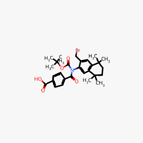 CC(C)(C)OC(=O)N(C(=O)c1ccc(C(=O)O)cc1)c1cc2c(cc1CBr)C(C)(C)CCC2(C)C